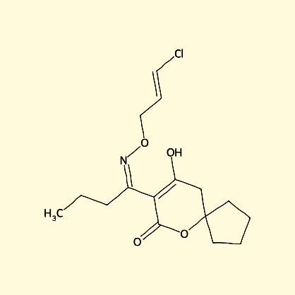 CCC/C(=N/OC/C=C/Cl)C1=C(O)CC2(CCCC2)OC1=O